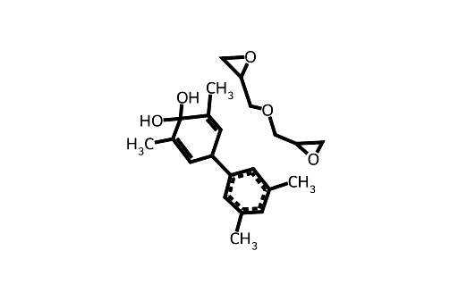 C(OCC1CO1)C1CO1.CC1=CC(c2cc(C)cc(C)c2)C=C(C)C1(O)O